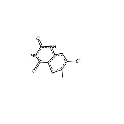 Cc1cc2c(=O)[nH]c(=O)[nH]c2cc1Cl